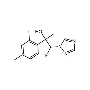 Cc1ccc(C(C)(O)C(F)n2cncn2)c(C)c1